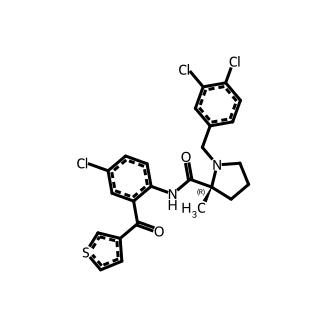 C[C@]1(C(=O)Nc2ccc(Cl)cc2C(=O)c2ccsc2)CCCN1Cc1ccc(Cl)c(Cl)c1